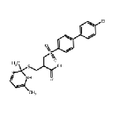 CC1=CC=NC(C)(SCC(CS(=O)(=O)c2ccc(-c3ccc(Cl)cc3)cc2)C(=O)O)N1